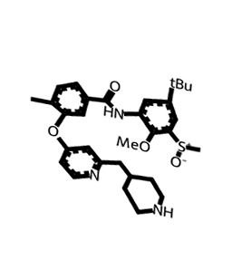 COc1c(NC(=O)c2ccc(C)c(Oc3ccnc(CC4CCNCC4)c3)c2)cc(C(C)(C)C)cc1[S+](C)[O-]